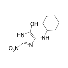 O=[N+]([O-])c1nc(NC2CCCCC2)c(O)[nH]1